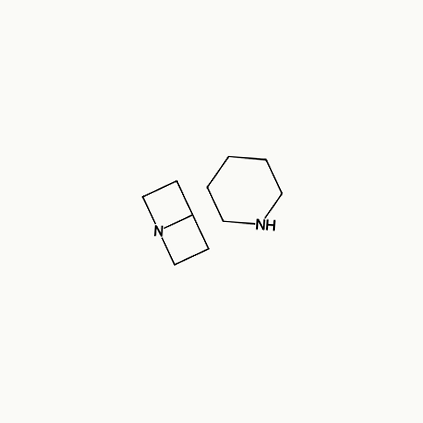 C1CCNCC1.C1CN2CCC12